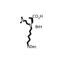 Br.CCCCCCCCCCCCCCCCN(C=C(C)C(=O)O)CCN(C)C